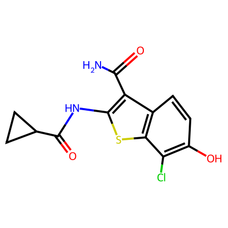 NC(=O)c1c(NC(=O)C2CC2)sc2c(Cl)c(O)ccc12